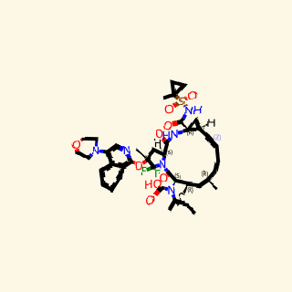 CCC(C)N(C(=O)O)[C@@H]1C(=O)N2[C@@H](C[C@@](C)(Oc3ncc(N4CCOCC4)c4ccccc34)C2(F)F)C(=O)N[C@]2(C(=O)NS(=O)(=O)C3(C)CC3)C[C@H]2/C=C\CC[C@@H](C)C[C@H]1CC